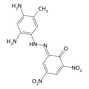 Cc1cc(N/N=C2\C=C([N+](=O)[O-])C=C([N+](=O)[O-])C2=O)c(N)cc1N